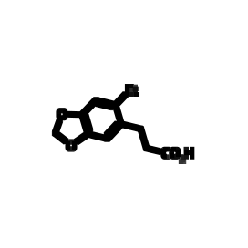 CCc1cc2c(cc1CCC(=O)O)OCO2